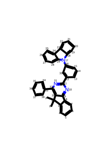 CC1(C)c2ccccc2-c2nc(-c3cccc(-n4c5ccccc5c5ccccc54)c3)nc(-c3ccccc3)c21